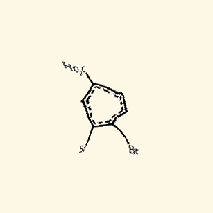 O=C(O)c1ccc(Br)c(Br)c1